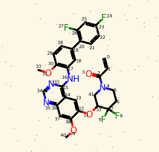 C=CC(=O)N1CCC(F)(F)C(Oc2cc3c(Nc4cc(-c5ccc(F)cc5F)ccc4OC)ncnc3cc2OC)C1